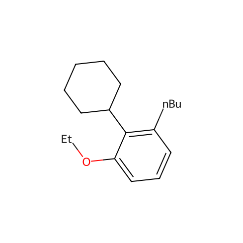 CCCCc1cccc(OCC)c1C1CCCCC1